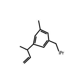 C=C[C](C)c1cc(C)cc(CC(C)C)c1